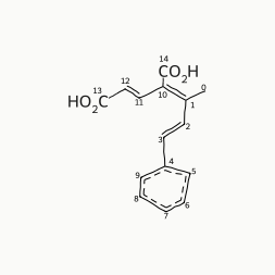 CC(C=Cc1ccccc1)=C(C=CC(=O)O)C(=O)O